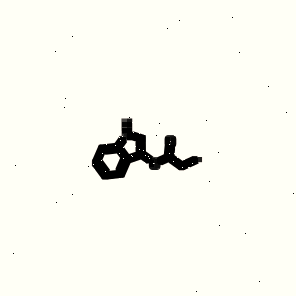 [CH2]CC(=O)Oc1c[nH]c2ccccc12